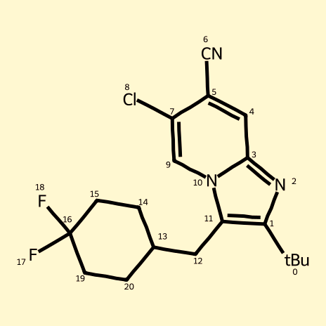 CC(C)(C)c1nc2cc(C#N)c(Cl)cn2c1CC1CCC(F)(F)CC1